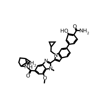 COc1cc(C(=O)N2CC3CCC2[C@@H]3N)cc2nc(-c3cc4ccc(-c5ccc(C(N)=O)c(O)c5)cc4n3CC3CC3)n(C)c12